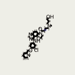 CN(C/C=C/C(=O)N1CCOc2c1ccc1ncnc(Nc3ccc(OCc4ccccn4)c(Cl)c3)c21)CCCO